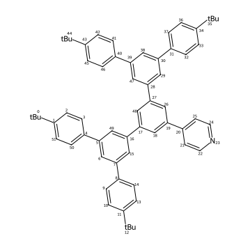 CC(C)(C)c1ccc(-c2cc(-c3ccc(C(C)(C)C)cc3)cc(-c3cc(-c4ccncc4)cc(-c4cc(-c5ccc(C(C)(C)C)cc5)cc(-c5ccc(C(C)(C)C)cc5)c4)c3)c2)cc1